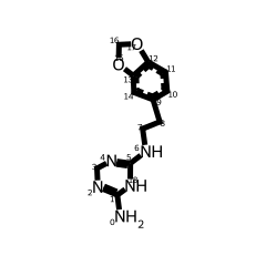 NC1=NCN=C(NCCc2ccc3c(c2)OCO3)N1